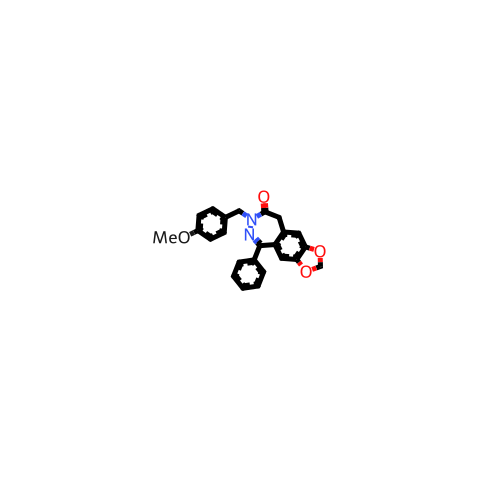 COc1ccc(CN2N=C(c3ccccc3)c3cc4c(cc3CC2=O)OCO4)cc1